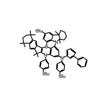 CC(C)(C)c1ccc(N2C3=C(B4c5cc(C(C)(C)C)cc6c5N(c5cc(N(c7ccc(C(C)(C)C)cc7)c7cccc(-c8ccccc8)c7)cc2c54)C2(C)CCCCC62C)c2cc4c(cc2C3(C)C)C(C)(C)CCC4(C)C)cc1